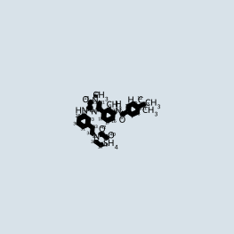 Cc1c(NC(=O)c2ccc(C(C)(C)C)cc2)cccc1-c1cn(C)c(=O)c(Nc2cccc(CCN3CC[SH4]C(=O)C3=O)c2)n1